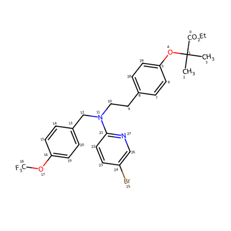 CCOC(=O)C(C)(C)Oc1ccc(CCN(Cc2ccc(OC(F)(F)F)cc2)c2ccc(Br)cn2)cc1